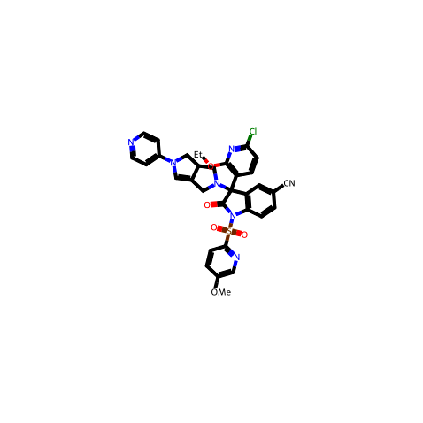 CCOc1nc(Cl)ccc1C1(N2CC3=CN(c4ccncc4)CC3C2)C(=O)N(S(=O)(=O)c2ccc(OC)cn2)c2ccc(C#N)cc21